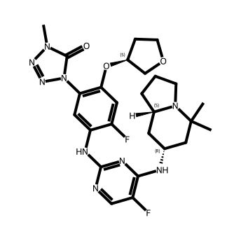 Cn1nnn(-c2cc(Nc3ncc(F)c(N[C@@H]4C[C@@H]5CCCN5C(C)(C)C4)n3)c(F)cc2O[C@H]2CCOC2)c1=O